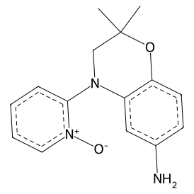 CC1(C)CN(c2cccc[n+]2[O-])c2cc(N)ccc2O1